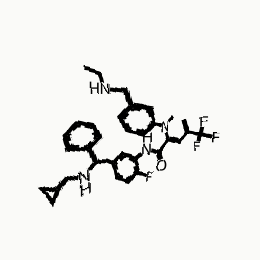 C=C(/C=C(/C(=O)Nc1cc(C(NCC2CC2)c2ccccc2)ccc1F)N(C)c1cccc(CNCC)c1)C(F)(F)F